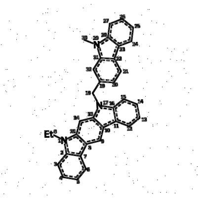 CCn1c2ccccc2c2cc3c4ccccc4n(Cc4ccc5c6ccccc6n(C)c5c4)c3cc21